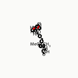 COc1ccc2c(c1C1CCN(C[C@H]3CC[C@H](NC(=O)[C@@H]4NC5(CCCCC5)[C@@]5(C(=O)Nc6cc(Cl)ccc65)[C@H]4c4cccc(Cl)c4F)CC3)CC1)n(C)c(=O)n2C1CCC(=O)NC1=O